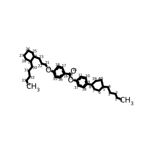 CCCCCC1CCC(c2ccc(OC(=O)c3ccc(OCCCC4CCCCC4CCCCC)cc3)cc2)CC1